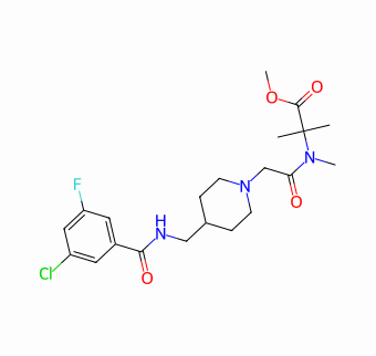 COC(=O)C(C)(C)N(C)C(=O)CN1CCC(CNC(=O)c2cc(F)cc(Cl)c2)CC1